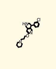 Clc1cccc(C2CNCc3cc(OCCCN4CCCCC4)ncc32)c1